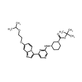 CC(C)OCCOc1ccn2c(-c3cncc(N[C@@H]4CCCN(C(=O)OC(C)(C)C)C4)n3)cnc2c1